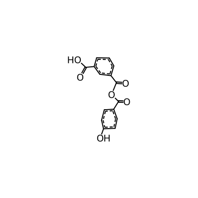 O=C(O)c1cccc(C(=O)OC(=O)c2ccc(O)cc2)c1